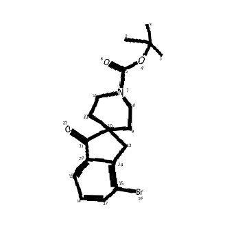 CC(C)(C)OC(=O)N1CCC2(CC1)Cc1c(Br)cccc1C2=O